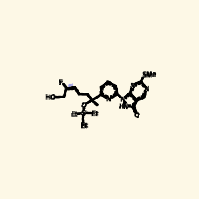 CC[Si](CC)(CC)OC(C)(CC/C=C(/F)CO)c1cccc(-n2[nH]c(=O)c3cnc(SC)nc32)n1